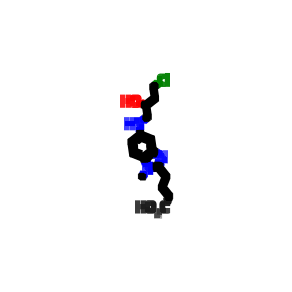 Cn1c(CCCC(=O)O)nc2cc(NCC(O)CCCl)ccc21